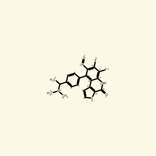 CC(c1ccc(-c2c(N=O)c(F)c(F)c3[nH]c(=O)c4sccc4c23)cc1)N(C)C